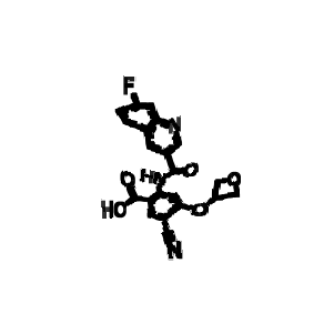 N#Cc1cc(C(=O)O)c(NC(=O)c2cnc3cc(F)ccc3c2)cc1OC1COC1